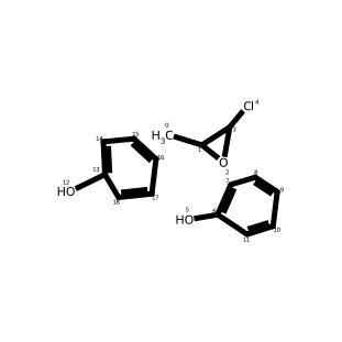 CC1OC1Cl.Oc1ccccc1.Oc1ccccc1